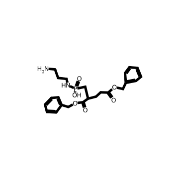 NCCCNP(=O)(O)CC(CCC(=O)OCc1ccccc1)C(=O)OCc1ccccc1